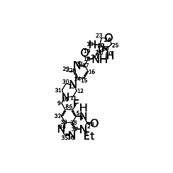 CCN1C(=O)Nc2c(F)c(CN3CCN(c4ccc(C(=O)N[C@H]5[C@@H]6COC[C@@H]65)nc4C)CC3)cc3ncnc1c23